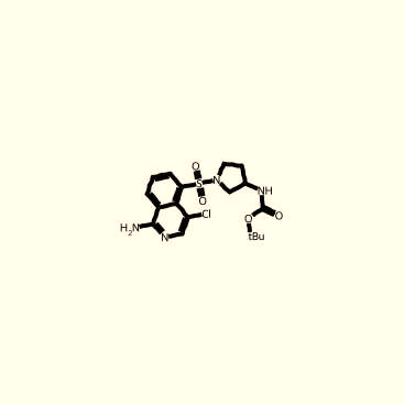 CC(C)(C)OC(=O)NC1CCN(S(=O)(=O)c2cccc3c(N)ncc(Cl)c23)C1